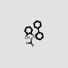 Cc1ccccc1S.FC(F)F.c1ccc(-c2ccccc2)cc1